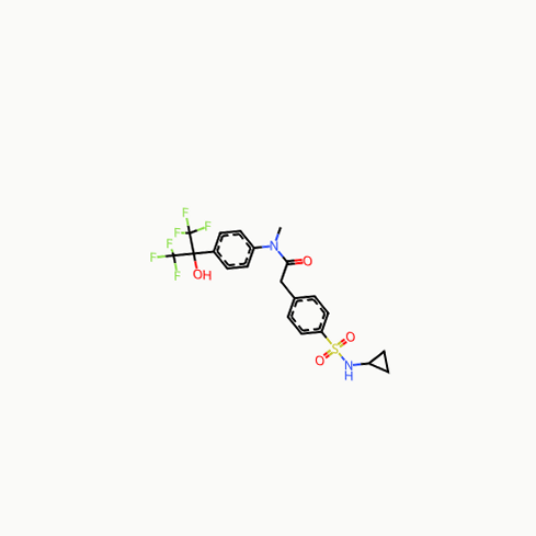 CN(C(=O)Cc1ccc(S(=O)(=O)NC2CC2)cc1)c1ccc(C(O)(C(F)(F)F)C(F)(F)F)cc1